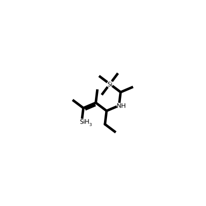 CCC(NC(C)[Si](C)(C)C)C(C)=C(C)[SiH3]